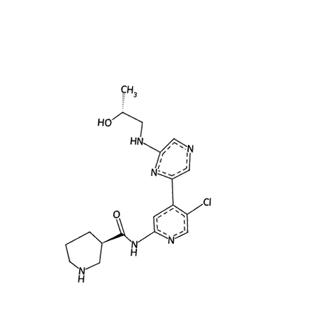 C[C@@H](O)CNc1cncc(-c2cc(NC(=O)[C@@H]3CCCNC3)ncc2Cl)n1